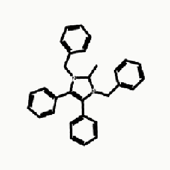 CC1N(Cc2ccccc2)C(c2ccccc2)=C(c2ccccc2)N1Cc1ccccc1